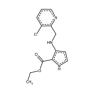 CCOC(=O)c1[nH]ccc1NCc1ncccc1Cl